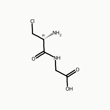 N[C@@H](CCl)C(=O)NCC(=O)O